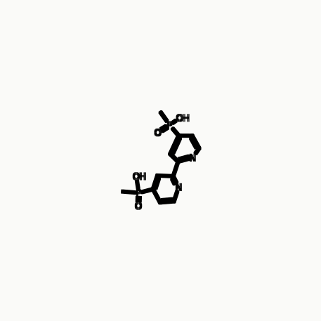 CP(=O)(O)c1ccnc(-c2cc(P(C)(=O)O)ccn2)c1